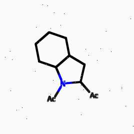 CC(=O)C1CC2CCCCC2N1C(C)=O